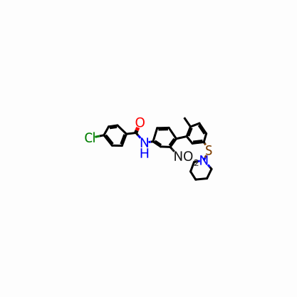 Cc1ccc(SN2CCCCC2)cc1-c1ccc(NC(=O)c2ccc(Cl)cc2)cc1[N+](=O)[O-]